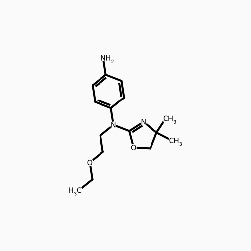 CCOCCN(C1=NC(C)(C)CO1)c1ccc(N)cc1